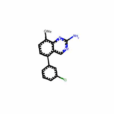 COc1ccc(-c2cccc(Cl)c2)c2cnc(N)nc12